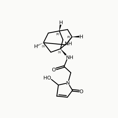 O=C(CN1C(=O)C=CC1O)N[C@@]12C[C@@H]3C[C@@H](C[C@H](C3)N1)C2